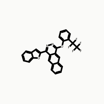 FC(F)(F)C(F)(F)c1ccccc1Oc1nnc(-c2cc3ccccc3o2)c2cc3ccccc3cc12